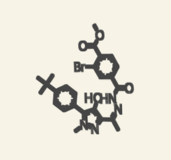 COC(=O)c1ccc(C(=O)N/N=C(/C)c2nn(C)c(-c3ccc(C(C)(C)C)cc3)c2O)cc1Br